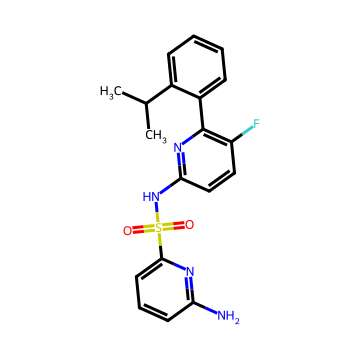 CC(C)c1ccccc1-c1nc(NS(=O)(=O)c2cccc(N)n2)ccc1F